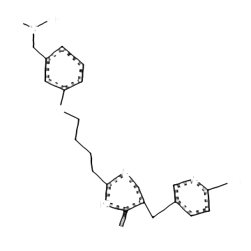 Cc1ccc(Cc2cnc(CCCCOc3cccc(CN(C)C)c3)[nH]c2=O)cn1